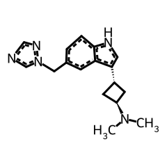 CN(C)[C@H]1C[C@H](c2c[nH]c3ccc(Cn4cncn4)cc32)C1